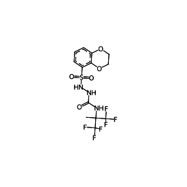 CC(NC(=O)NNS(=O)(=O)c1cccc2c1OCCO2)(C(F)(F)F)C(F)(F)F